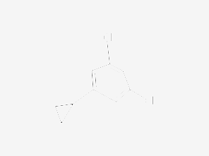 Clc1[c]c(Cl)cc(C2CC2)c1